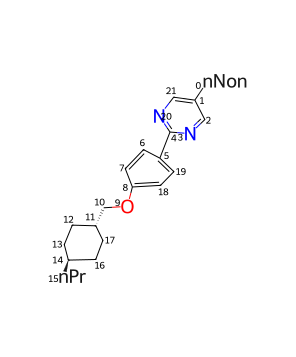 CCCCCCCCCc1cnc(-c2ccc(OC[C@H]3CC[C@H](CCC)CC3)cc2)nc1